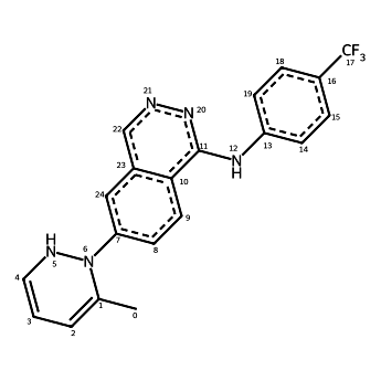 CC1=CC=CNN1c1ccc2c(Nc3ccc(C(F)(F)F)cc3)nncc2c1